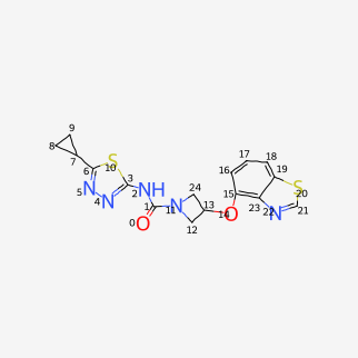 O=C(Nc1nnc(C2CC2)s1)N1CC(Oc2cccc3scnc23)C1